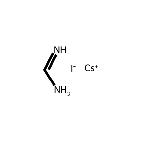 N=CN.[Cs+].[I-]